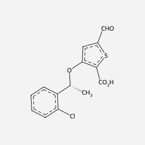 C[C@@H](Oc1cc(C=O)sc1C(=O)O)c1ccccc1Cl